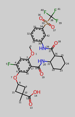 COc1cc(F)c(OC2CC(C)(C(=O)O)C2)cc1C(=O)NC1CCCCC1C(=O)Nc1cccc(S(=O)(=O)C(F)(F)F)c1